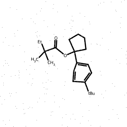 CCC(C)(C)C(=O)OC1(c2ccc(C(C)(C)C)cc2)CCCC1